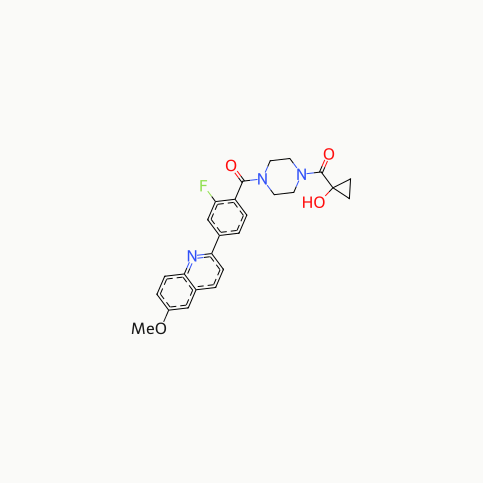 COc1ccc2nc(-c3ccc(C(=O)N4CCN(C(=O)C5(O)CC5)CC4)c(F)c3)ccc2c1